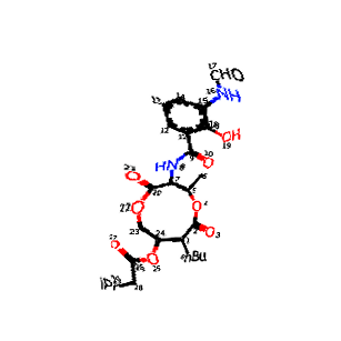 CCCCC1C(=O)OC(C)C(NC(=O)c2cccc(NC=O)c2O)C(=O)OCC1OC(=O)CC(C)C